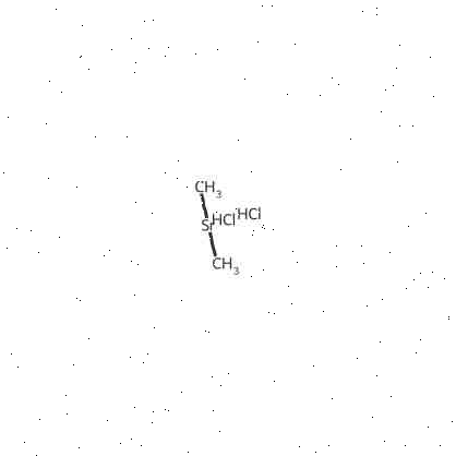 Cl.Cl.[CH3][Sr][CH3]